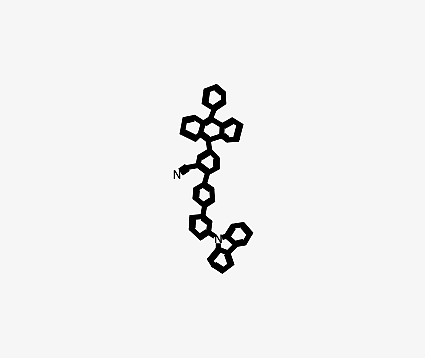 N#Cc1cc(-c2c3ccccc3c(-c3ccccc3)c3ccccc23)ccc1-c1ccc(-c2cccc(-n3c4ccccc4c4ccccc43)c2)cc1